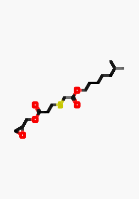 CC(C)CCCCCOC(=O)CSCCC(=O)OCC1CO1